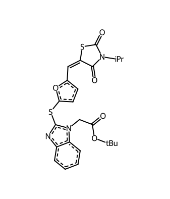 CC(C)N1C(=O)SC(=Cc2ccc(Sc3nc4ccccc4n3CC(=O)OC(C)(C)C)o2)C1=O